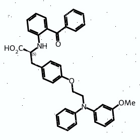 COc1cccc(N(CCOc2ccc(C[C@H](Nc3ccccc3C(=O)c3ccccc3)C(=O)O)cc2)c2ccccc2)c1